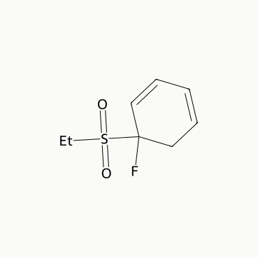 CCS(=O)(=O)C1(F)C=CC=CC1